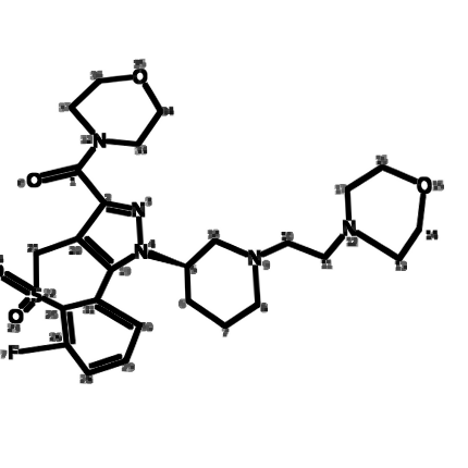 O=C(c1nn([C@@H]2CCCN(CCN3CCOCC3)C2)c2c1CS(=O)(=O)c1c(F)cccc1-2)N1CCOCC1